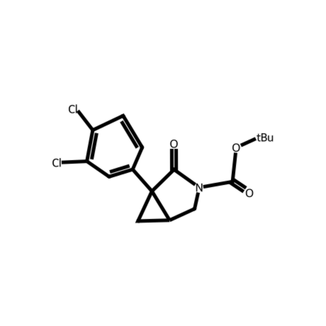 CC(C)(C)OC(=O)N1CC2CC2(c2ccc(Cl)c(Cl)c2)C1=O